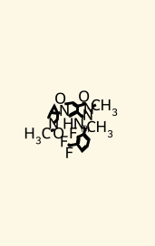 CC(=O)N1CC2CC2(n2cc3c(N[C@H](C)c4cccc(C(F)F)c4F)nn(C)c(=O)c3cc2=O)C1